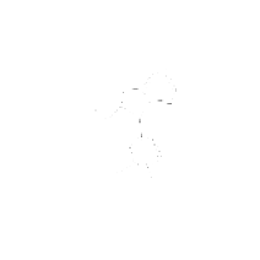 O=[N+]([O-])c1cc(C2c3ccccc3CC2CO)ccc1O